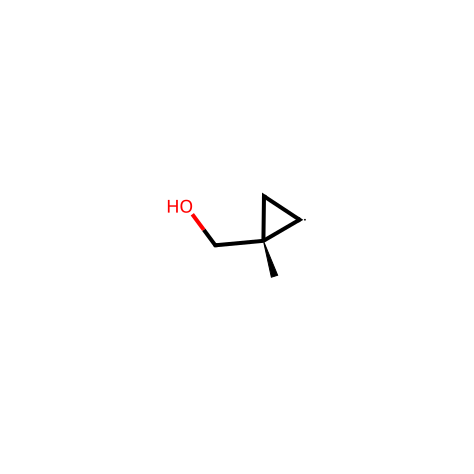 C[C@]1(CO)[CH]C1